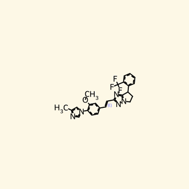 COc1cc(/C=C/c2nc3n(n2)CCC3c2ccccc2C(F)(F)F)ccc1-n1cnc(C)c1